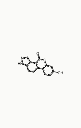 O=c1oc2cc(O)ccc2c2ccc3[nH]ncc3c12